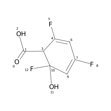 O=C(O)C1C(F)=CC(F)=CC1(O)F